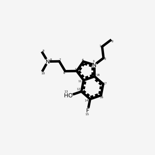 CCCn1cc(CCN(C)C)c2c(O)c(F)ccc21